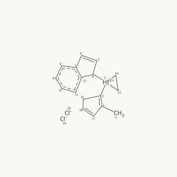 CC1=[C]([Hf+2]2([CH]3C=Cc4ccccc43)[CH2][CH2]2)CC=C1.[Cl-].[Cl-]